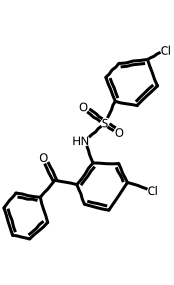 O=C(c1ccccc1)c1ccc(Cl)cc1NS(=O)(=O)c1ccc(Cl)cc1